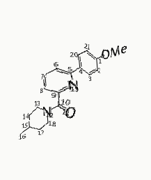 COc1ccc(-c2cccc(C(=O)N3CCC(C)CC3)n2)cc1